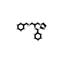 c1cn(CC(CSCC2CCCCC2)SCC2CCCCC2)cn1